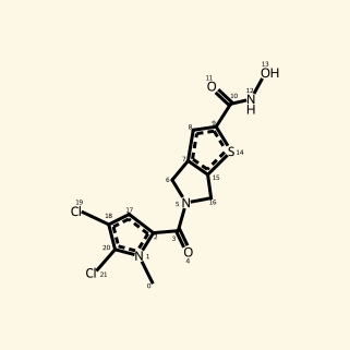 Cn1c(C(=O)N2Cc3cc(C(=O)NO)sc3C2)cc(Cl)c1Cl